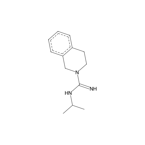 CC(C)NC(=N)N1CCc2ccccc2C1